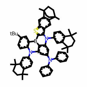 CC(C)(C)c1ccc2c(c1)B1c3sc4cc5c(cc4c3N(c3ccc4c(c3)C(C)(C)CCC4(C)C)c3cc(N(c4ccccc4)c4ccccc4)cc(c31)N2c1ccc2c(c1)C(C)(C)CCC2(C)C)C1(C)CCC5(C)CC1